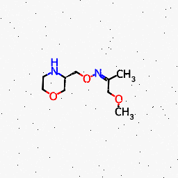 COC/C(C)=N\OC[C@H]1COCCN1